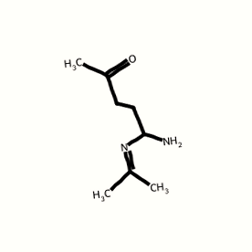 CC(=O)CCC(N)N=C(C)C